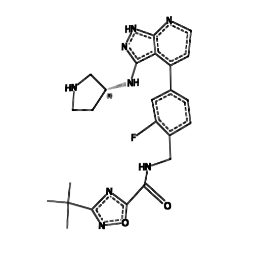 CC(C)(C)c1noc(C(=O)NCc2ccc(-c3ccnc4[nH]nc(N[C@@H]5CCNC5)c34)cc2F)n1